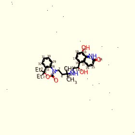 CCC1(CC)OC(=O)N(CCC(C)(C)NCC(O)c2ccc(O)c3[nH]c(=O)ccc23)c2ccccc21